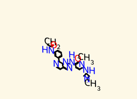 C=CC(=O)Nc1cccc(-c2nccc3cnc(Nc4ccc(NC5CN(C)C5)nc4OC)nc23)c1